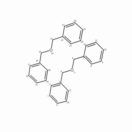 c1ccc(COCc2ccccc2)cc1.c1ccc(COCc2ccccc2)cc1